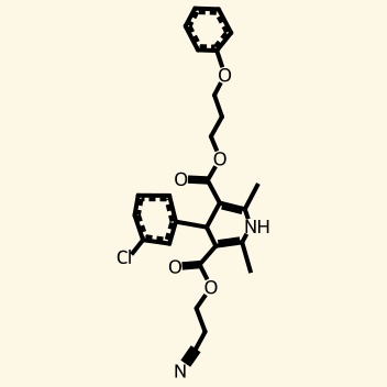 CC1=C(C(=O)OCCC#N)C(c2cccc(Cl)c2)C(C(=O)OCCCOc2ccccc2)=C(C)N1